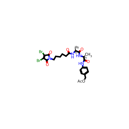 CC(=O)OCc1ccc(NC(=O)[C@H](C)NC(=O)[C@@H](NC(=O)CCCCCN2C(=O)C(Br)=C(Br)C2=O)C(C)C)cc1